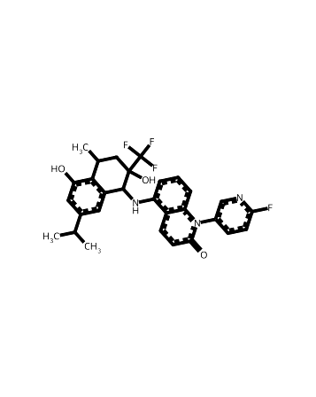 CC(C)c1cc(O)c2c(c1)C(Nc1cccc3c1ccc(=O)n3-c1ccc(F)nc1)C(O)(C(F)(F)F)CC2C